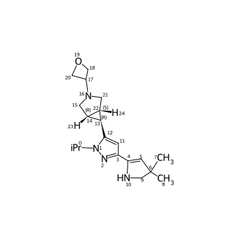 CC(C)n1nc(C2=CC(C)(C)CN2)cc1[C@H]1[C@@H]2CN(C3COC3)C[C@@H]21